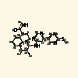 CNC(=O)c1ccnc2c(C(C)[C@H](C)CNc3cc(-c4cnc(SC)nc4)ncn3)cccc12